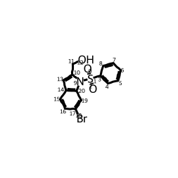 O=S(=O)(c1ccccc1)n1c(CO)cc2ccc(Br)cc21